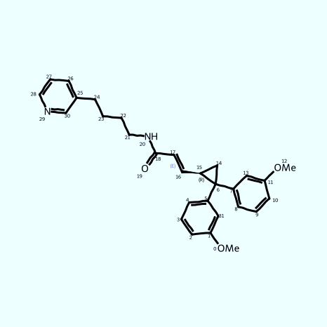 COc1cccc(C2(c3cccc(OC)c3)C[C@@H]2/C=C/C(=O)NCCCCc2cccnc2)c1